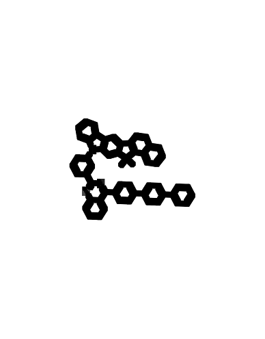 CC1(C)c2cc3c(cc2-c2ccc4ccccc4c21)c1ccccc1n3-c1cccc(-c2nc(-c3ccc(-c4ccc(-c5ccccc5)cc4)cc3)c3ccccc3n2)c1